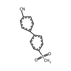 CS(=O)(=O)c1ccc(-c2ccc(C#N)cc2)cc1